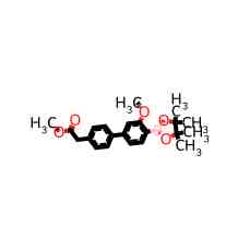 COC(=O)Cc1ccc(-c2ccc(B3OC(C)(C)C(C)(C)O3)c(OC)c2)cc1